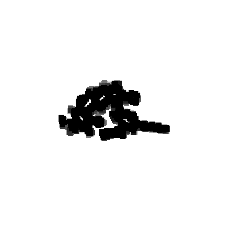 COc1cc(OC)nc(-n2c(=O)sc3cc(F)c(-n4c(=O)cc(C(F)(F)F)n(C)c4=O)cc32)n1